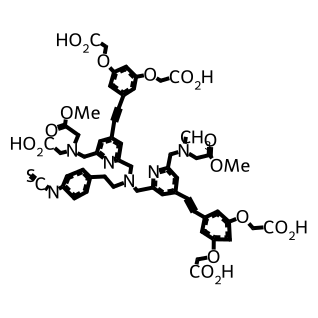 COC(=O)CN(C)Cc1cc(C#Cc2cc(OCC(=O)O)cc(OCC(=O)O)c2)cc(CN(CCc2ccc(N=C=S)cc2)Cc2cc(C#Cc3cc(OCC(=O)O)cc(OCC(=O)O)c3)cc(CN(CC(=O)O)CC(=O)OC)n2)n1